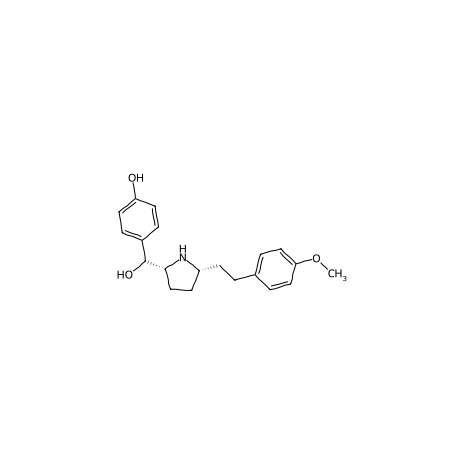 COc1ccc(CC[C@@H]2CC[C@H](C(O)c3ccc(O)cc3)N2)cc1